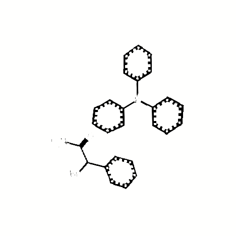 NC(=O)C(Br)c1ccccc1.c1ccc(P(c2ccccc2)c2ccccc2)cc1